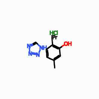 Cc1ccc(C(C)C)c(O)c1.Cl.c1nnn[nH]1